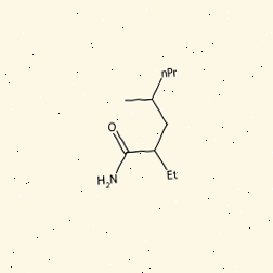 CCCC(C)CC(CC)C(N)=O